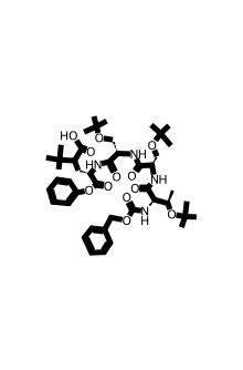 C[C@@H](OC(C)(C)C)[C@H](NC(=O)OCc1ccccc1)C(=O)N[C@@H](COC(C)(C)C)C(=O)N[C@@H](COC(C)(C)C)C(=O)N[C@@H](CC(C(=O)O)C(C)(C)C)C(=O)Oc1ccccc1